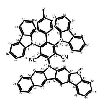 Cc1ccc(-c2c(-n3c4ccccc4c4ccccc43)c(C#N)c(-n3c4cc5ccccc5cc4c4cc5c(cc43)oc3ccccc35)c(C#N)c2-n2c3ccccc3c3ccccc32)cc1